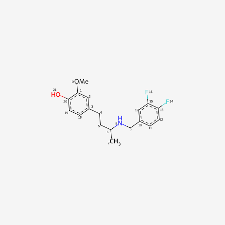 COc1cc(CCC(C)NCc2ccc(F)c(F)c2)ccc1O